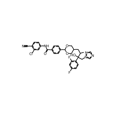 CC(CC1COC(c2ccc(C(=O)Nc3ccc(C#N)c(Cl)c3)cc2)OC1)C(O)(Cn1cncn1)c1ccc(F)cc1F